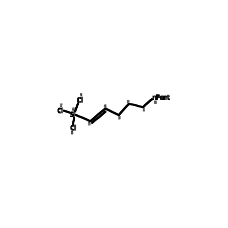 CCCCCCCCC=C[Si](Cl)(Cl)Cl